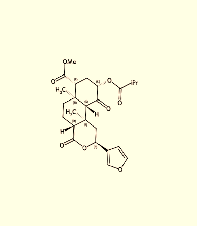 COC(=O)[C@@H]1C[C@H](OC(=O)C(C)C)C(=O)[C@H]2[C@@]1(C)CC[C@H]1C(=O)O[C@H](c3ccoc3)C[C@]21C